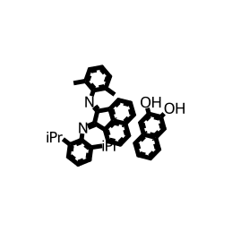 Cc1cccc(C)c1N=C1C(=Nc2c(C(C)C)cccc2C(C)C)c2cccc3cccc1c23.Oc1cc2ccccc2cc1O